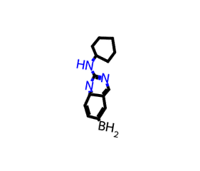 Bc1ccc2nc(NC3CCCCC3)ncc2c1